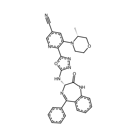 C[C@@H]1COCCN1c1cc(C#N)cnc1-c1nnc(N[C@H]2N=C(c3ccccc3)c3ccccc3NC2=O)o1